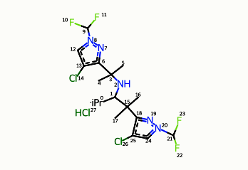 C[C](C)C(NC(C)(C)c1nn(C(F)F)cc1Cl)C(C)(C)c1nn(C(F)F)cc1Cl.Cl